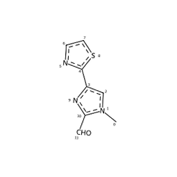 Cn1cc(-c2nccs2)nc1C=O